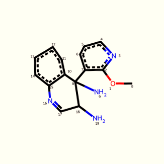 COc1ncccc1C1(N)c2ccccc2N=CC1N